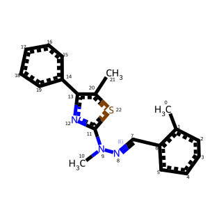 Cc1ccccc1/C=N/N(C)c1nc(-c2ccccc2)c(C)s1